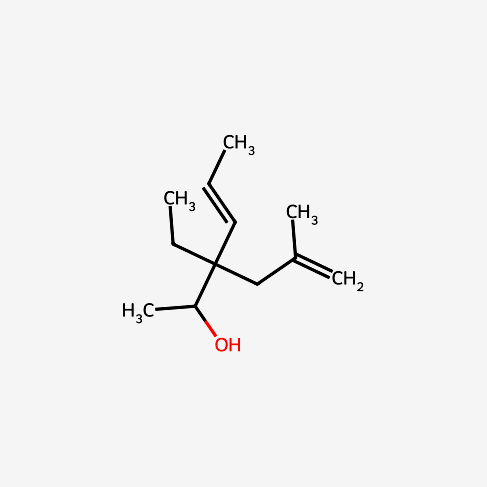 C=C(C)CC(C=CC)(CC)C(C)O